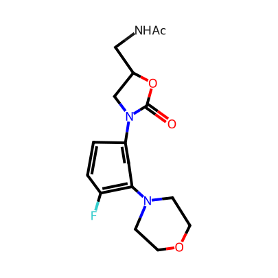 CC(=O)NCC1CN(c2ccc(F)c(N3CCOCC3)c2)C(=O)O1